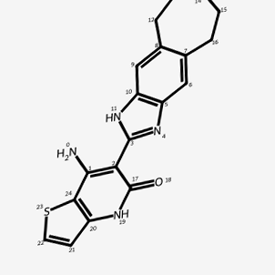 Nc1c(-c2nc3cc4c(cc3[nH]2)CCNCC4)c(=O)[nH]c2ccsc12